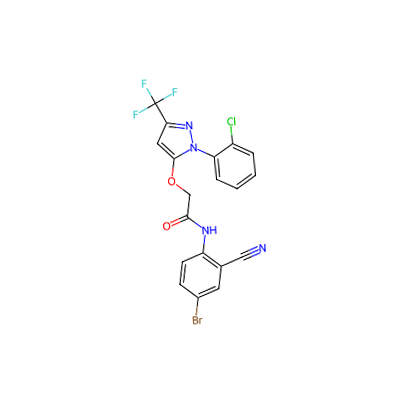 N#Cc1cc(Br)ccc1NC(=O)COc1cc(C(F)(F)F)nn1-c1ccccc1Cl